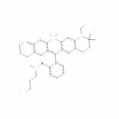 CCCCN(C)C(=O)c1ccccc1C1=c2cc3c(cc2[Si](C)(C)c2cc4c(cc21)CCC(C)(C)N4CC)=NCCC3